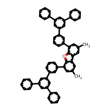 Cc1cc(-c2cccc(-c3cc(-c4ccccc4)cc(-c4ccccc4)c3)c2)c2oc3c(-c4cccc(-c5cc(-c6ccccc6)cc(-c6ccccc6)c5)c4)cc(C)cc3c2c1